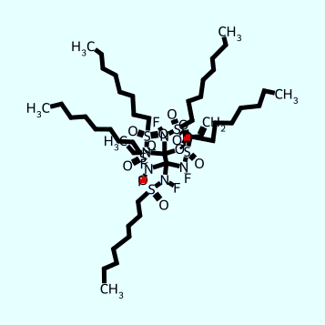 C=CC(=O)OC(N(F)S(=O)(=O)CCCCCCCC)(C(N(F)S(=O)(=O)CCCCCCCC)(N(F)S(=O)(=O)CCCCCCCC)N(F)S(=O)(=O)CCCCCCCC)[N+](F)(CC)S(=O)(=O)CCCCCCCC